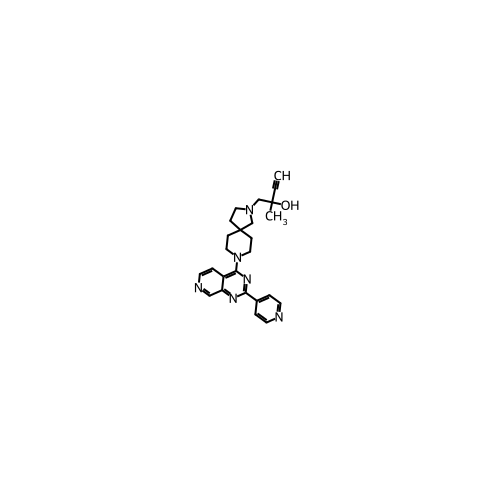 C#CC(C)(O)CN1CCC2(CCN(c3nc(-c4ccncc4)nc4cnccc34)CC2)C1